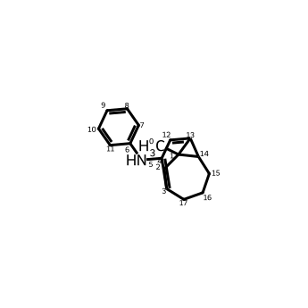 CC12CC3=C(Nc4ccccc4)C=C1C2CCC3